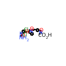 CC1=C(OCc2c(Cl)ccc(N(C)C(=O)CN)c2Cl)Cc2ccccc2N1C(=O)C=Cc1ccc(C(=O)N(C)CC(=O)O)cc1